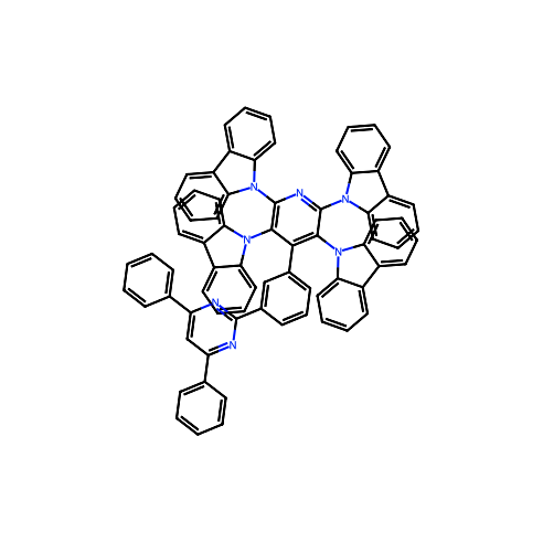 c1ccc(-c2cc(-c3ccccc3)nc(-c3cccc(-c4c(-n5c6ccccc6c6ccccc65)c(-n5c6ccccc6c6ccccc65)nc(-n5c6ccccc6c6ccccc65)c4-n4c5ccccc5c5ccccc54)c3)n2)cc1